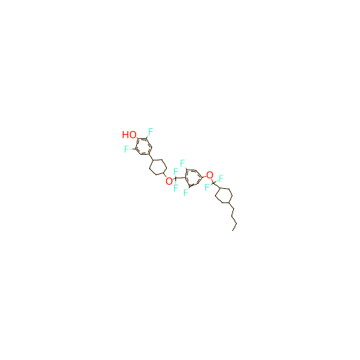 CCCCC1CCC(C(F)(F)Oc2cc(F)c(C(F)(F)OC3CCC(c4cc(F)c(O)c(F)c4)CC3)c(F)c2)CC1